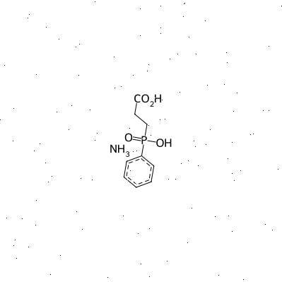 N.O=C(O)CCP(=O)(O)c1ccccc1